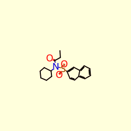 CCC(=O)N(C1CCCCC1)S(=O)(=O)c1ccc2ccccc2c1